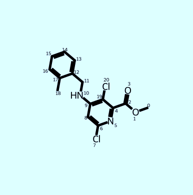 COC(=O)c1nc(Cl)cc(NCc2ccccc2C)c1Cl